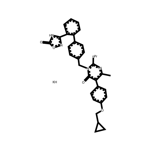 CCCc1nc(C)c(-c2ccc(OCC3CC3)cc2)c(=O)n1Cc1ccc(-c2ccccc2-c2noc(=O)[nH]2)cc1.[KH]